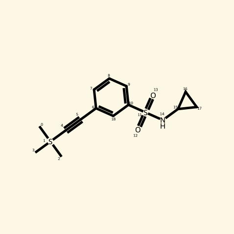 CS(C)(C)C#Cc1cccc(S(=O)(=O)NC2CC2)c1